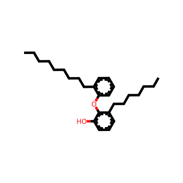 CCCCCCCCCc1ccccc1Oc1c(O)cccc1CCCCCCC